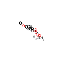 CC1(C)OCC(COC(=O)O[C@@H]2CC[C@H]3[C@@H]4CCc5cc(OCc6ccccc6)ccc5[C@H]4CC[C@]23C)O1